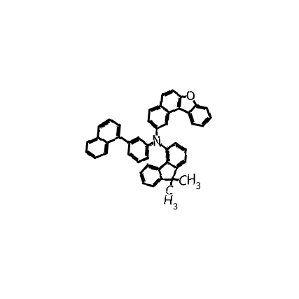 CC1(C)c2ccccc2-c2c(N(c3cccc(-c4cccc5ccccc45)c3)c3ccc4ccc5oc6ccccc6c5c4c3)cccc21